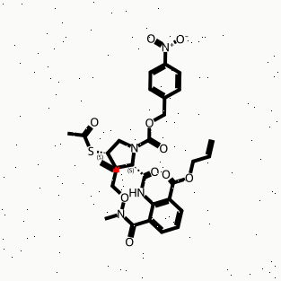 C=CCOC(=O)c1cccc(C(=O)N(C)OCC=C)c1NC(=O)[C@@H]1C[C@H](SC(C)=O)CN1C(=O)OCc1ccc([N+](=O)[O-])cc1